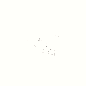 N#C[C@@H]1CC(F)(F)CN1C(=O)CNC(=O)c1ccnc2ccc(-c3ccc(Cl)cc3)cc12